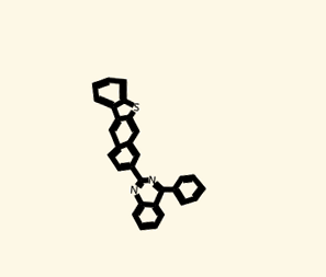 c1ccc(-c2nc(-c3ccc4cc5c(cc4c3)sc3ccccc35)nc3ccccc23)cc1